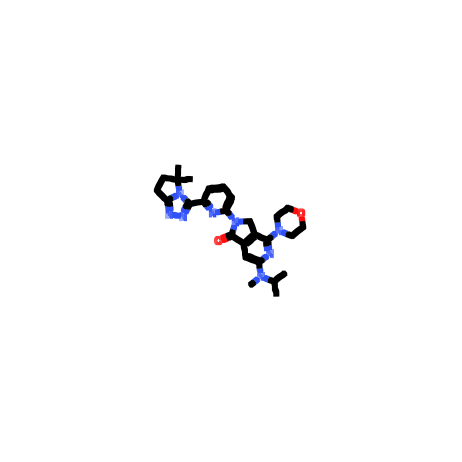 CC(C)N(C)c1cc2c(c(N3CCOCC3)n1)CN(c1cccc(-c3nnc4n3C(C)(C)CC4)n1)C2=O